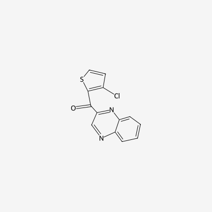 O=C(c1cnc2ccccc2n1)c1sccc1Cl